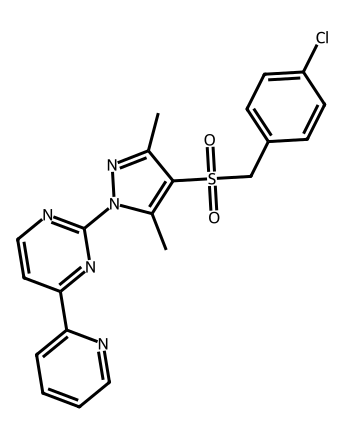 Cc1nn(-c2nccc(-c3ccccn3)n2)c(C)c1S(=O)(=O)Cc1ccc(Cl)cc1